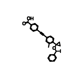 Cc1cc(C#Cc2ccc(C(=O)O)cc2)ccc1C1(OC(I)c2ccccc2)CC1